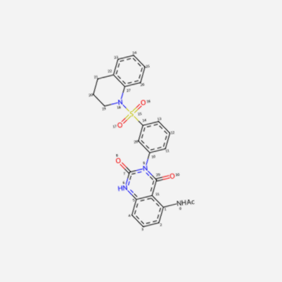 CC(=O)Nc1cccc2[nH]c(=O)n(-c3cccc(S(=O)(=O)N4CCCc5ccccc54)c3)c(=O)c12